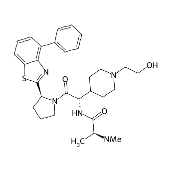 CN[C@@H](C)C(=O)N[C@H](C(=O)N1CCC[C@H]1c1nc2c(-c3ccccc3)cccc2s1)C1CCN(CCO)CC1